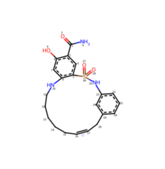 NC(=O)c1cc2c(cc1O)NCCCCC/C=C\Cc1cccc(c1)NS2(=O)=O